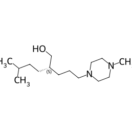 CC(C)CC[C@H](CO)CCCN1CCN(C)CC1